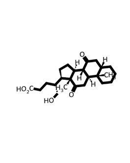 C[C@]12CCCC[C@H]1CC(=O)[C@@H]1[C@@H]2CC(=O)[C@]2(C)[C@@H]([C@H](CO)CCC(=O)O)CC[C@@H]12